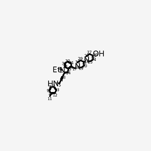 CCn1c(C#CCNc2ccc(C)cc2)cc2c(CN3CCC(N4CCC(O)CC4)CC3)cccc21